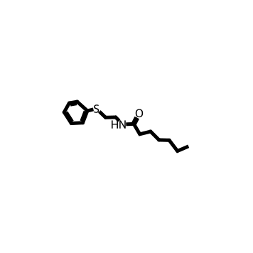 CCCCCCC(=O)NCCSc1ccccc1